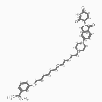 CC(N)c1cccc(OCCCCCCOCCOCCN2CCN(c3ccc4c(c3)CN(C3CCC(=O)NC3=O)C4=O)CC2)c1